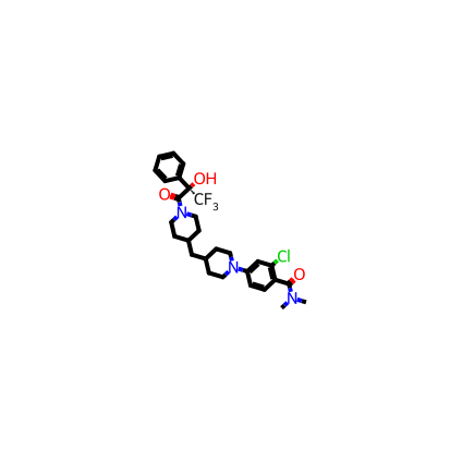 CN(C)C(=O)c1ccc(N2CCC(CC3CCN(C(=O)[C@](O)(c4ccccc4)C(F)(F)F)CC3)CC2)cc1Cl